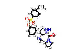 Cc1ccc(S(=O)(=O)Oc2cccc([C@@H]3CN[C@H](C(=O)N4CCC[C@H]4C#N)C3)c2)cc1